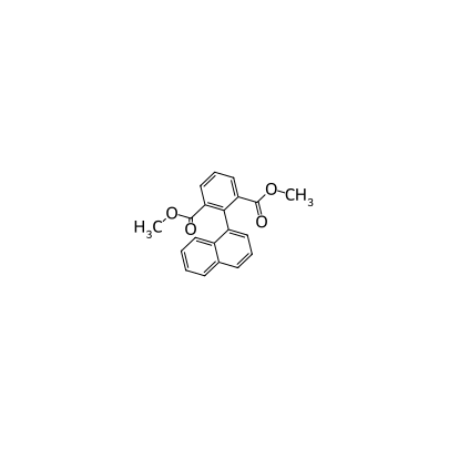 COC(=O)c1cccc(C(=O)OC)c1-c1cccc2ccccc12